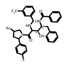 CC(=O)C1CC(c2ccc(F)cc2)N(C(=O)C(NCc2cccc(C(F)(F)F)c2)[C@H](O)[C@H](Cc2ccccc2)NC(=O)c2ccccc2)C1